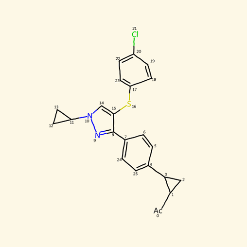 CC(=O)C1CC1c1ccc(-c2nn(C3CC3)cc2Sc2ccc(Cl)cc2)cc1